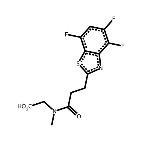 CN(CC(=O)O)C(=O)CCc1nc2c(F)c(F)cc(F)c2s1